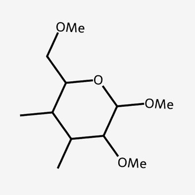 COCC1OC(OC)C(OC)C(C)C1C